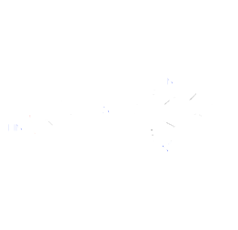 CNS(=O)(=O)c1ccc(CCN2CC=C(c3c[nH]c(-c4ccc(F)cc4)c3-c3ccncc3)CC2)cc1